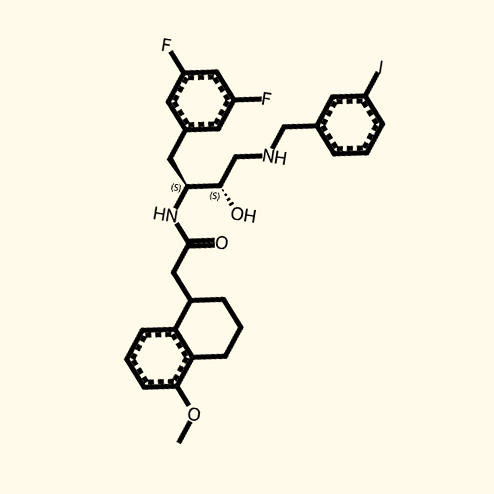 COc1cccc2c1CCCC2CC(=O)N[C@@H](Cc1cc(F)cc(F)c1)[C@@H](O)CNCc1cccc(I)c1